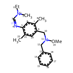 CCN(C)/C=N\c1cc(C)c(CN(Cc2ccccc2)OC)cc1C